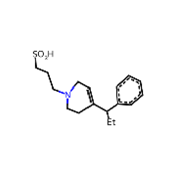 CCC(C1=CCN(CCCS(=O)(=O)O)CC1)c1ccccc1